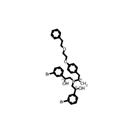 C[C@H](Cc1ccc(OCCOCCc2ccccc2)cc1)N(C[C@@H](O)c1cccc(Br)c1)C[C@@H](O)c1cccc(Br)c1